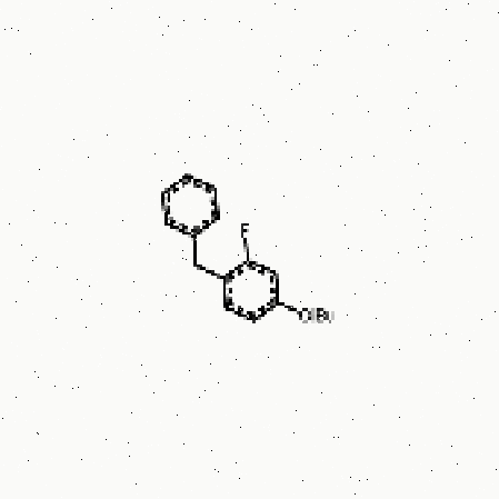 CC(C)COc1ccc(Cc2c[c]ccc2)c(F)c1